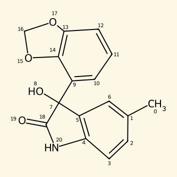 Cc1ccc2c(c1)C(O)(c1cccc3c1OCO3)C(=O)N2